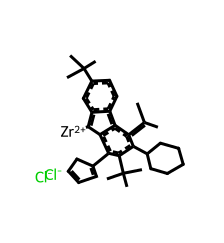 CC(C)=c1c(C2CCCCC2)c(C(C)(C)C)c(C2=CC=CC2)c2c1=c1ccc(C(C)(C)C)cc1=[C]2[Zr+2].[Cl-].[Cl-]